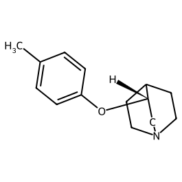 Cc1ccc(O[C@H]2CN3CCC2CC3)cc1